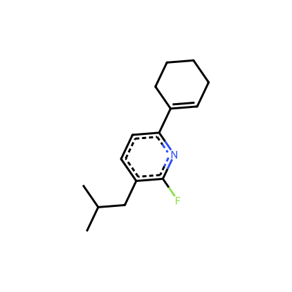 CC(C)Cc1ccc(C2=CCCCC2)nc1F